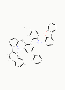 CC(C)(C)c1ccc(Nc2cccc3c2oc2ccccc23)c(-c2cc(-c3ccccc3)cc3c2Bc2cccc4c5ccc6ccccc6c5n-3c24)c1